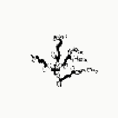 CCCCCCCCOC(=O)CCCC(=O)OCC(COC(=O)CCCC(=O)OCCCCCCCC)(COC(=O)CCCN(C)C)COC(=O)CC(CCCCCC)CCCCCC